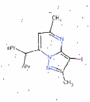 CCCC(CCC)c1cc(C)nc2c(I)c(C)nn12